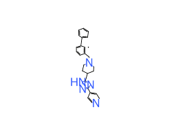 [c]1c(CN2CCC(c3nc(-c4ccncc4)n[nH]3)CC2)cccc1-c1ccccc1